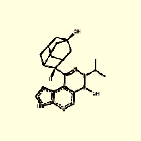 CC(C)N1N=C([C@H]2C3CC4CC2C[C@](O)(C4)C3)c2c(cnc3[nH]ccc23)B1O